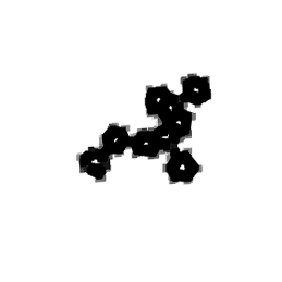 c1ccc(-n2c3ccccc3c3c4c5cc(-c6cccc(-c7ncncn7)c6)ccc5n(-c5ccccc5)c4ccc32)cc1